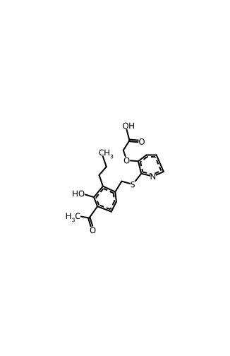 CCCc1c(CSc2ncccc2OCC(=O)O)ccc(C(C)=O)c1O